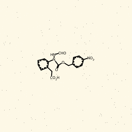 O=CNN(C(=O)OCc1ccc([N+](=O)[O-])cc1)c1ccccc1CC(=O)O